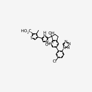 Cc1c(-c2cnc(C3(O)CCc4cc(-c5cc(Cl)ccc5-n5cnnn5)c[n+]([O-])c43)[nH]2)csc1C(=O)O